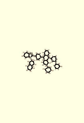 c1ccc(-c2cccc(-c3c4ccccc4c(-c4ccc(-c5nc6ccccc6n5-c5ccc6ccccc6c5)cc4)c4ccc(-c5ccccc5)cc34)c2)cc1